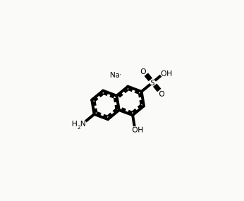 Nc1ccc2cc(S(=O)(=O)O)cc(O)c2c1.[Na]